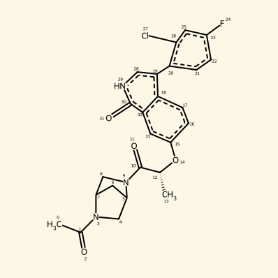 CC(=O)N1CC2CC1CN2C(=O)[C@@H](C)Oc1ccc2c(-c3ccc(F)cc3Cl)c[nH]c(=O)c2c1